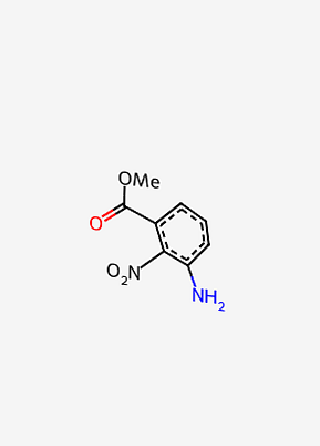 COC(=O)c1cccc(N)c1[N+](=O)[O-]